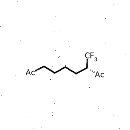 CC(=O)CC[CH]C[C@@H](C(C)=O)C(F)(F)F